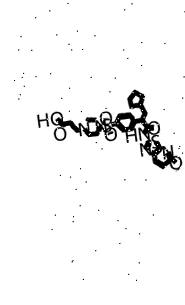 COc1ccc2nc(NC(=O)C(CC3CCCC3)c3ccc(S(=O)(=O)N4CCN(CCC(=O)O)CC4)cc3)sc2n1